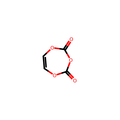 O=C1OC=COC(=O)O1